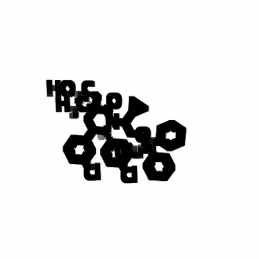 CC(C)(C)[Si](OCC(C1CC1)N1C(=O)[C@@](C)(CC(=O)O)CC(c2cccc(Cl)c2)[C@H]1c1ccc(Cl)cc1)(c1ccccc1)c1ccccc1